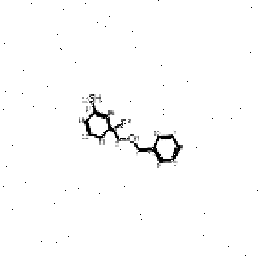 F[C@@]1(COCc2ccccc2)[CH]C=CC(S)=C1